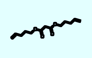 C=CCCCOC(=O)CC(=O)OCCCC=C